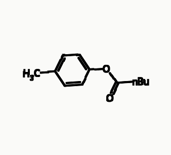 CCCCC(=O)Oc1ccc(C)cc1